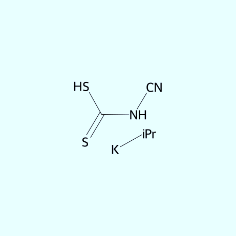 C[CH](C)[K].N#CNC(=S)S